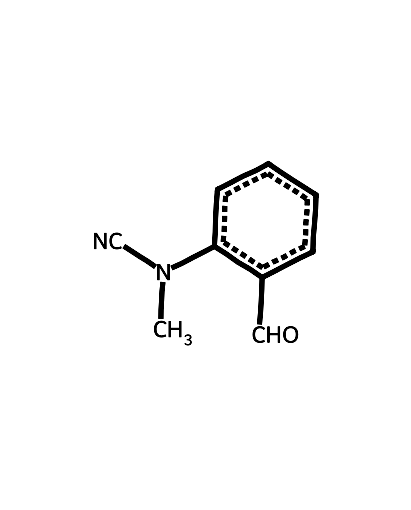 CN(C#N)c1ccccc1C=O